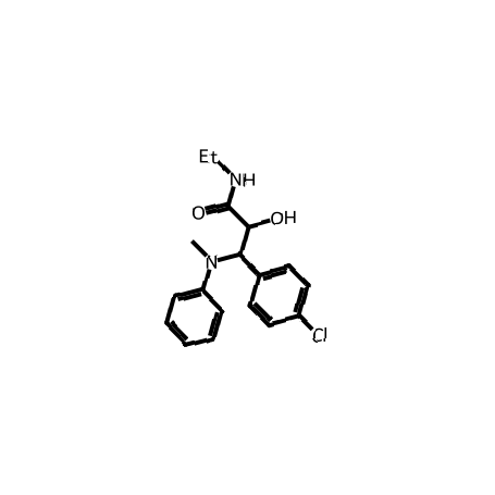 CCNC(=O)C(O)C(c1ccc(Cl)cc1)N(C)c1ccccc1